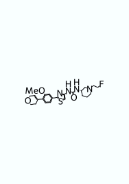 COc1cc(-c2nc(NC(=O)N[C@H]3CCCN(CCF)C3)cs2)ccc1C1=CCOCC1